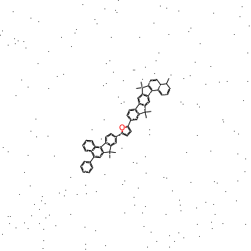 CC1C=CC=C2C3=C(C=CC21)C(C)(C)c1cc2c(cc13)C(C)(C)c1cc(-c3ccc(-c4ccc5c(c4)C(C)(C)c4cc(-c6ccccc6)c6ccccc6c4-5)o3)ccc1-2